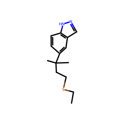 CCSCCC(C)(C)c1ccc2[nH]ncc2c1